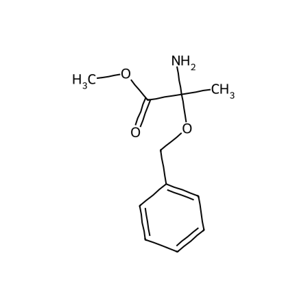 COC(=O)C(C)(N)OCc1ccccc1